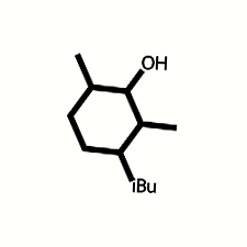 CCC(C)C1CCC(C)C(O)C1C